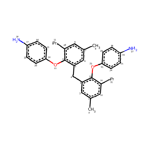 Cc1cc(Cc2cc(C)cc(C(C)C)c2Oc2ccc(N)cc2)c(Oc2ccc(N)cc2)c(C(C)C)c1